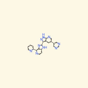 c1ccc(-c2nccc3[nH]c(-c4n[nH]c5ncc(-c6cncnc6)cc45)nc23)nc1